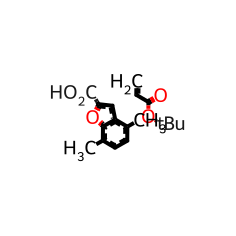 C=CC(=O)OC(C)(C)C.Cc1ccc(C)c2oc(C(=O)O)cc12